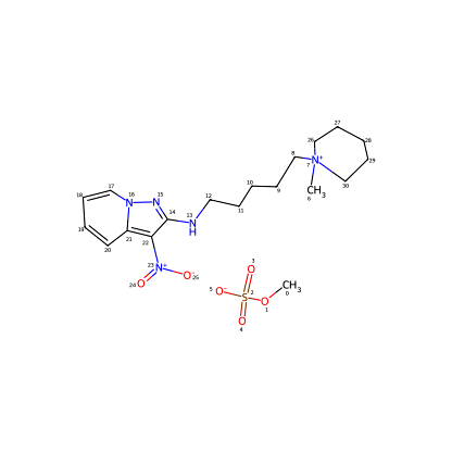 COS(=O)(=O)[O-].C[N+]1(CCCCCNc2nn3ccccc3c2[N+](=O)[O-])CCCCC1